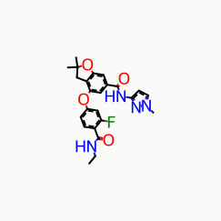 CCNC(=O)c1ccc(Oc2cc(C(=O)Nc3ccn(C)n3)cc3c2CC(C)(C)O3)cc1F